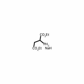 CCOC(=O)CC(P)C(=O)OCC.[NaH]